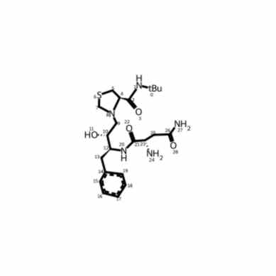 CC(C)(C)NC(=O)[C@@H]1CSCN1C[C@@H](O)[C@H](Cc1ccccc1)NC(=O)[C@@H](N)CC(N)=O